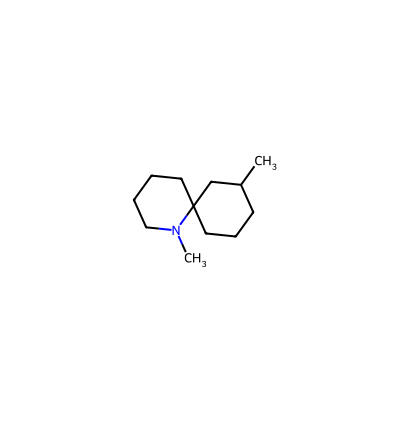 CC1CCCC2(CCCCN2C)C1